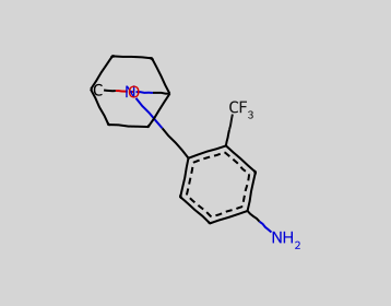 Nc1ccc(N2OCC3CCC2CC3)c(C(F)(F)F)c1